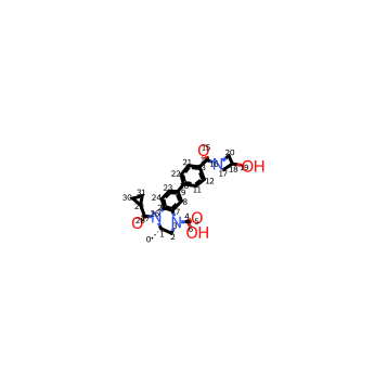 C[C@H]1CN(C(=O)O)c2cc(-c3ccc(C(=O)N4CC(O)C4)cc3)ccc2N1C(=O)C1CC1